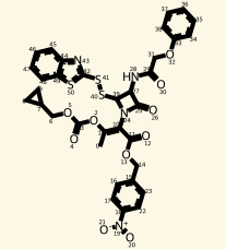 CC(OC(=O)OCC1CC1)=C(C(=O)OCc1ccc([N+](=O)[O-])cc1)N1C(=O)C(NC(=O)COc2ccccc2)C1SSc1nc2ccccc2s1